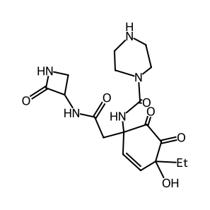 CCC1(O)C=CC(CC(=O)NC2CNC2=O)(NC(=O)N2CCNCC2)C(=O)C1=O